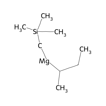 CC[CH](C)[Mg][CH2][Si](C)(C)C